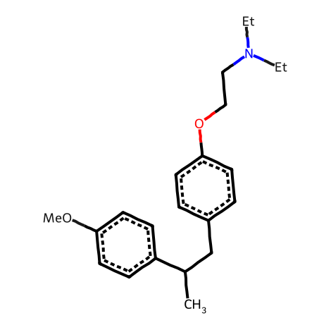 CCN(CC)CCOc1ccc(CC(C)c2ccc(OC)cc2)cc1